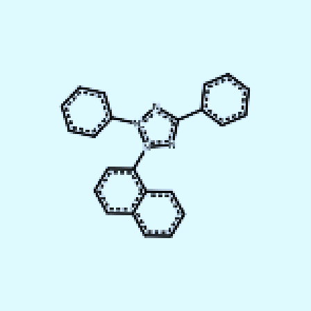 c1ccc(-c2nn(-c3cccc4ccccc34)[n+](-c3ccccc3)n2)cc1